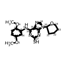 COc1ccc(OC)c(Nc2nc(S)nc3c2ncn3C2CCCCO2)c1